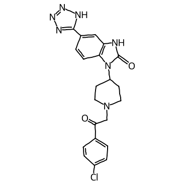 O=C(CN1CCC(n2c(=O)[nH]c3cc(-c4nnn[nH]4)ccc32)CC1)c1ccc(Cl)cc1